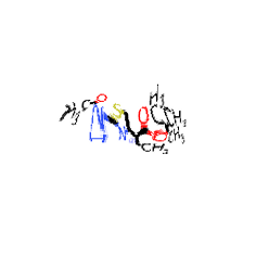 C/C=C(\C(=O)OC(C)(C)C)c1csc(NC(C)=O)n1